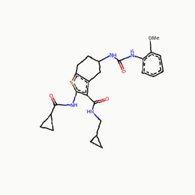 COc1ccccc1NC(=O)NC1CCc2sc(NC(=O)C3CC3)c(C(=O)NCC3CC3)c2C1